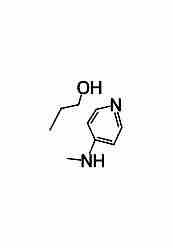 CCCO.CNc1ccncc1